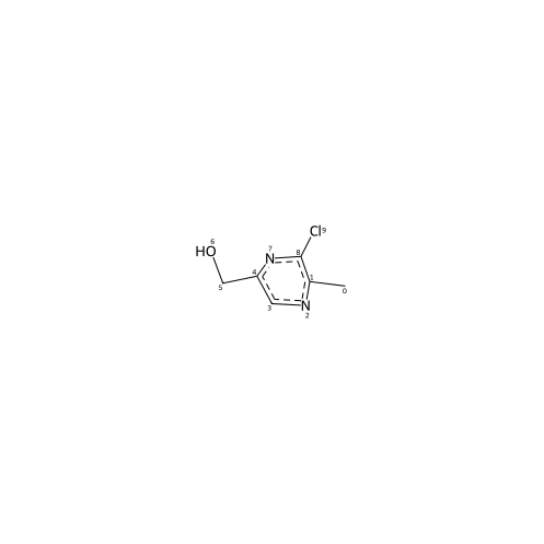 Cc1ncc(CO)nc1Cl